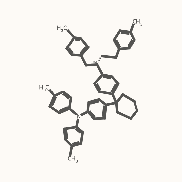 Cc1ccc(CC[C@@H](Cc2ccc(C)cc2)c2ccc(C3(c4ccc(N(c5ccc(C)cc5)c5ccc(C)cc5)cc4)CCCCC3)cc2)cc1